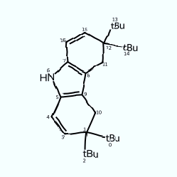 CC(C)(C)C1(C(C)(C)C)C=Cc2[nH]c3c(c2C1)CC(C(C)(C)C)(C(C)(C)C)C=C3